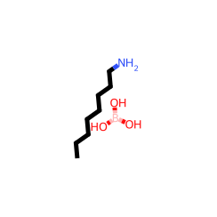 CCCCCCCCN.OB(O)O